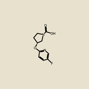 O=C(O)N1CC[C@H](Oc2ccc(F)cn2)C1